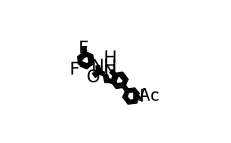 CC(=O)N1CCCC(c2ccc3[nH]c(C(=O)Nc4cc(F)cc(F)c4)cc3c2)C1